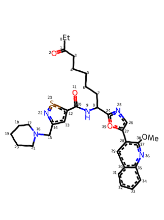 CCC(=O)CCCCCC(NC(=O)c1cc(CN2CCCCC2)ns1)c1ncc(-c2cc3ccccc3nc2OC)o1